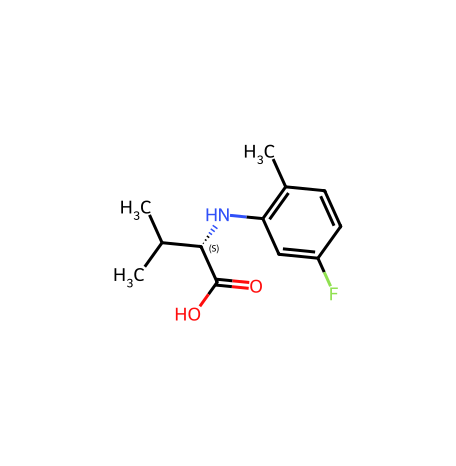 Cc1ccc(F)cc1N[C@H](C(=O)O)C(C)C